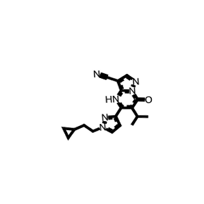 CC(C)c1c(-c2ccn(CCC3CC3)n2)[nH]c2c(C#N)cnn2c1=O